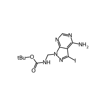 CC(C)(C)OC(=O)NCn1nc(I)c2c(N)ncnc21